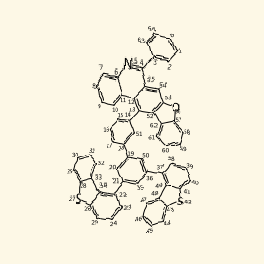 c1ccc(-c2nc3ccccc3c3c(-c4cccc(-c5cc(-c6cccc7sc8ccccc8c67)cc(-c6cccc7sc8ccccc8c67)c5)c4)c4c(cc23)oc2ccccc24)cc1